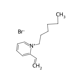 C=Cc1cccc[n+]1CCCCCC.[Br-]